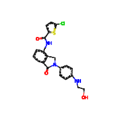 O=C(Nc1cccc2c1CN(c1ccc(NCCO)cc1)C2=O)c1ccc(Cl)s1